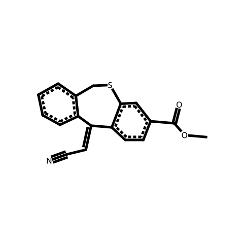 COC(=O)c1ccc2c(c1)SCc1ccccc1C2=CC#N